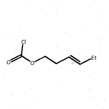 CC/C=C/CCOC(=O)Cl